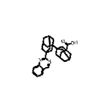 O=C(O)C12CC3CC(C1)CC(C14CC5CC(CC(c6ncc7ccccc7n6)(C5)C1)C4)(C3)C2